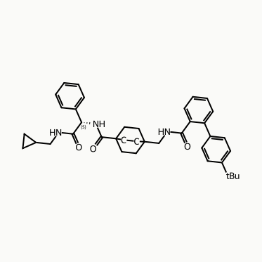 CC(C)(C)c1ccc(-c2ccccc2C(=O)NCC23CCC(C(=O)N[C@H](C(=O)NCC4CC4)c4ccccc4)(CC2)CC3)cc1